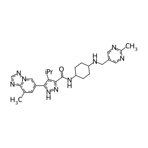 Cc1ncc(CNC2CCC(NC(=O)c3n[nH]c(-c4cc(C)c5ncnn5c4)c3C(C)C)CC2)cn1